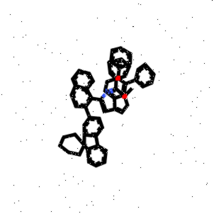 CC1C/C=C(C2=CCC(c3ccccc3)C(c3ccccc3)=C2)/C=C(c2c(-c3ccc4c(c3)C3(CCCCC3)c3ccccc3-4)ccc3ccccc23)\N=C/1c1ccccc1